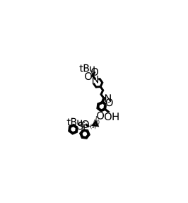 CC(C)(C)OC(=O)N1CCC(CCc2noc3c(CO)c(OC[C@@H]4C[C@@H]4CO[Si](c4ccccc4)(c4ccccc4)C(C)(C)C)ccc23)CC1